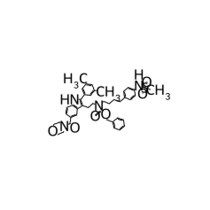 Cc1cc(C)cc(-c2[nH]c3ccc(C(=O)N4CCOCC4)cc3c2CCN(CCCCc2ccc(NS(C)(=O)=O)cc2)C(=O)OCc2ccccc2)c1